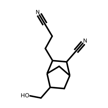 N#CCCC1C(C#N)C2CC(CO)C1C2